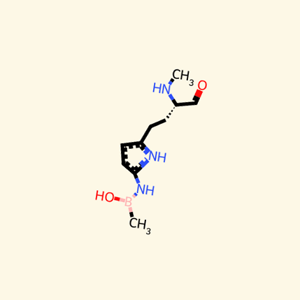 CN[C@H](C=O)CCc1ccc(NB(C)O)[nH]1